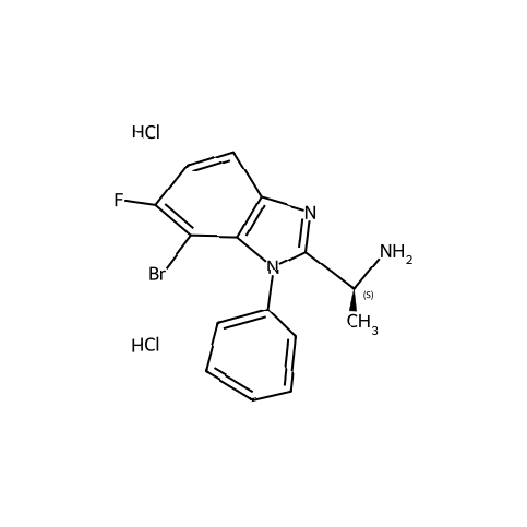 C[C@H](N)c1nc2ccc(F)c(Br)c2n1-c1ccccc1.Cl.Cl